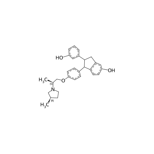 C[C@@H]1CCN([C@@H](C)COc2ccc(C3c4ccc(O)cc4CC3c3cccc(O)c3)cc2)C1